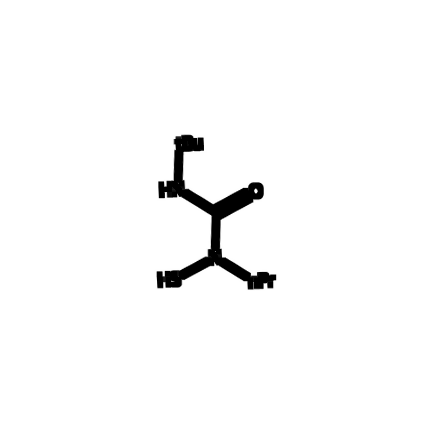 CCCN(S)C(=O)NC(C)(C)C